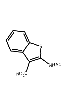 CC(=O)Nc1sc2ccccc2c1C(=O)O